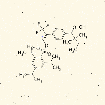 CCC(C)(C)C(OO)c1ccc(/C(=N\OS(=O)(=O)c2c(C(C)C)cc(C(C)C)cc2C(C)C)C(F)(F)F)cc1